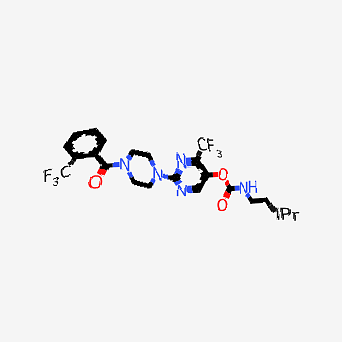 CC(C)CCNC(=O)Oc1cnc(N2CCN(C(=O)c3ccccc3C(F)(F)F)CC2)nc1C(F)(F)F